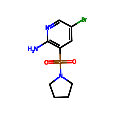 Nc1ncc(Br)cc1S(=O)(=O)N1CCCC1